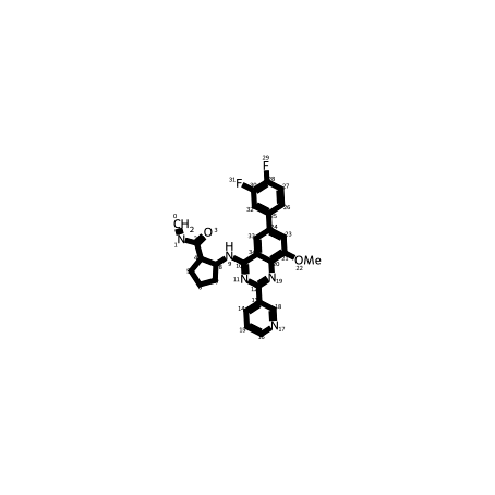 C=NC(=O)C1CCCC1Nc1nc(-c2cccnc2)nc2c(OC)cc(-c3ccc(F)c(F)c3)cc12